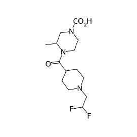 CC1CN(C(=O)O)CCN1C(=O)C1CCN(CC(F)F)CC1